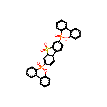 O=P1(C2=CC3C(C=C2)c2ccc(P4(=O)Oc5ccccc5-c5ccccc54)cc2S3(=O)=O)Oc2ccccc2-c2ccccc21